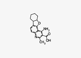 Cc1nc2ccc3c(c2c(N)c1C(=O)O)OC1CCCCC31